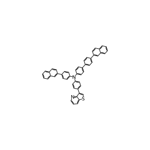 c1ccc2cc(-c3ccc(-c4ccc(N(c5ccc(-c6ccc7ccccc7c6)cc5)c5ccc(-c6csc7cccnc67)cc5)cc4)cc3)ccc2c1